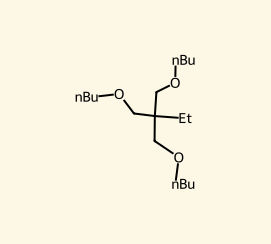 CCCCOCC(CC)(COCCCC)COCCCC